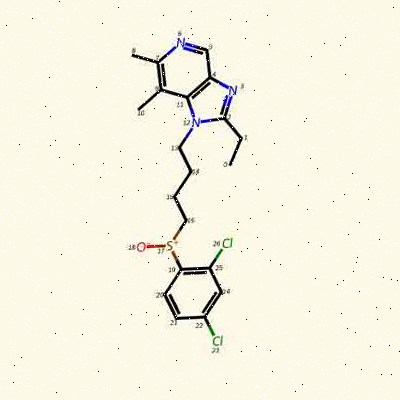 CCc1nc2cnc(C)c(C)c2n1CCCC[S+]([O-])c1ccc(Cl)cc1Cl